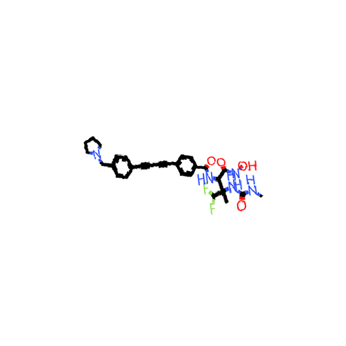 CNC(=O)NC(C)(C(F)F)C(NC(=O)c1ccc(C#CC#Cc2ccc(CN3CCCC3)cc2)cc1)C(=O)NO